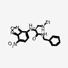 CCNC[C@H](Nc1ccc([N+](=O)[O-])c2nonc12)C(=O)NCc1ccccc1